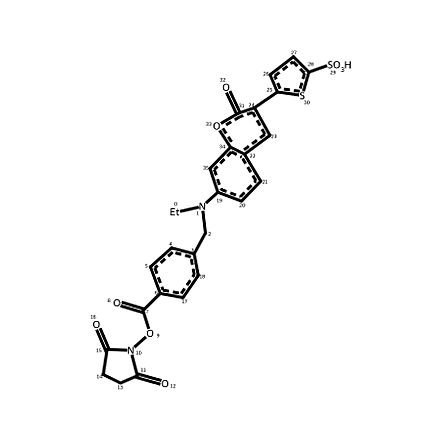 CCN(Cc1ccc(C(=O)ON2C(=O)CCC2=O)cc1)c1ccc2cc(-c3ccc(S(=O)(=O)O)s3)c(=O)oc2c1